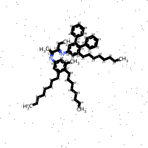 CCCCCCCCc1cc(N=C(C)C(CC)=Nc2cc(CCCCCCCC)c(-c3ccccc3)c(-c3ccccc3)c2)cc(C)c1CCCCCCCC